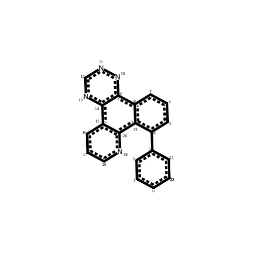 c1ccc(-c2cccc3c4nncnc4c4cccnc4c23)cc1